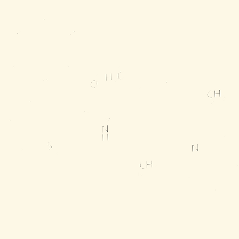 Cc1cc(C)c(N2CCCC2)c(C)c1NC(=O)c1sccc1-c1ccccc1